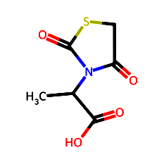 CC(C(=O)O)N1C(=O)CSC1=O